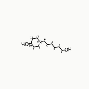 OCCCCCCN1CCC(O)CC1